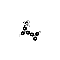 C=C(C)C(=O)OCc1ccc(N(c2ccc(C)cc2)c2ccc(-c3ccc(N(c4ccc(C)cc4)C4C=CC=CC4)cc3)cc2)cc1